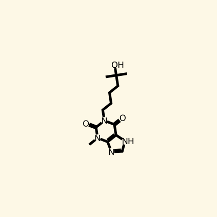 Cn1c(=O)n(CCCCC(C)(C)O)c(=O)c2[nH]cnc21